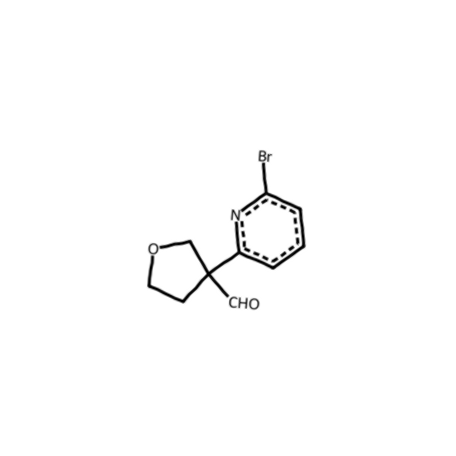 O=CC1(c2cccc(Br)n2)CCOC1